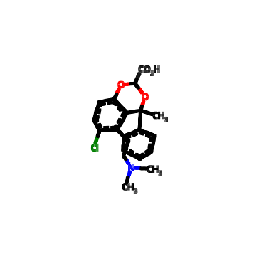 CN(C)CCc1c(Cl)ccc2c1C(C)(c1ccccc1)OC(C(=O)O)O2